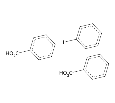 Ic1ccccc1.O=C(O)c1ccccc1.O=C(O)c1ccccc1